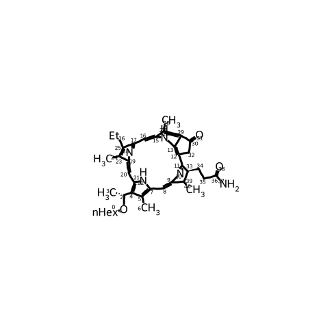 CCCCCCO[C@H](C)c1c(C)c2cc3nc(c4c5[nH]c(cc6nc(cc1[nH]2)C(C)=C6CC)c(C)c5C(=O)C4)[C@@H](CCC(N)=O)C3C